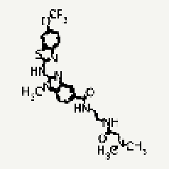 CN(C)CC(=O)NCCNC(=O)c1ccc2c(c1)nc(Nc1nc3ccc(OC(F)(F)F)cc3s1)n2C